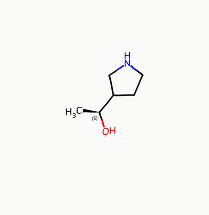 C[C@H](O)C1CCNC1